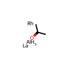 CC(C)=O.[AlH3].[La].[Rh]